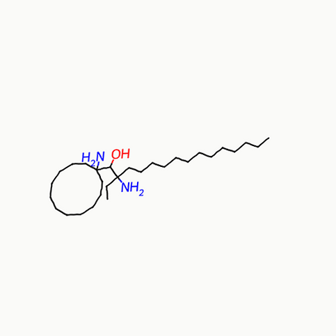 CCCCCCCCCCCCCC(N)(CC)C(O)C1(N)CCCCCCCCCCC1